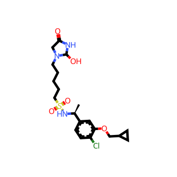 C[C@H](NS(=O)(=O)CCCCCN1CC(=O)NC1O)c1ccc(Cl)c(OCC2CC2)c1